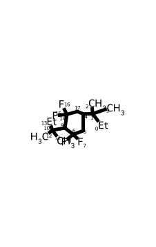 CCC(C)(C)C1CC(F)(F)C(C(C)(C)CC)C(F)(F)C1